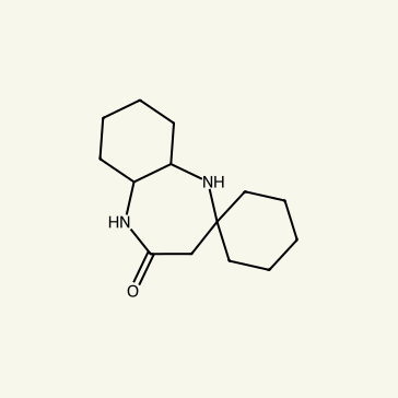 O=C1CC2(CCCCC2)NC2CCCCC2N1